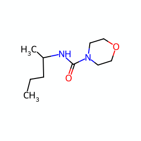 CCCC(C)NC(=O)N1CCOCC1